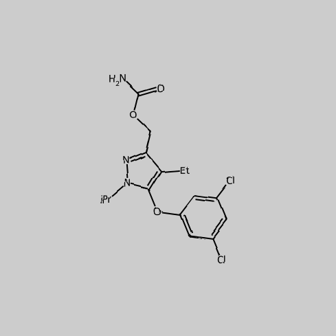 CCc1c(COC(N)=O)nn(C(C)C)c1Oc1cc(Cl)cc(Cl)c1